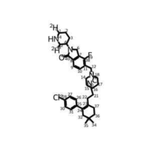 [2H]C1CCC(N2Cc3c(ccc(CN4CC5CCC4CN5CCC4=C(c5ccc(Cl)cc5)CC(C)(C)CC4)c3F)C2=O)C([2H])N1